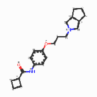 O=C(Nc1ccc(OCCCN2CC3CCCC3C2)cc1)C1CCC1